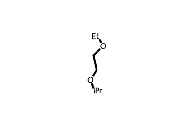 [CH2]C(C)OCCOCC